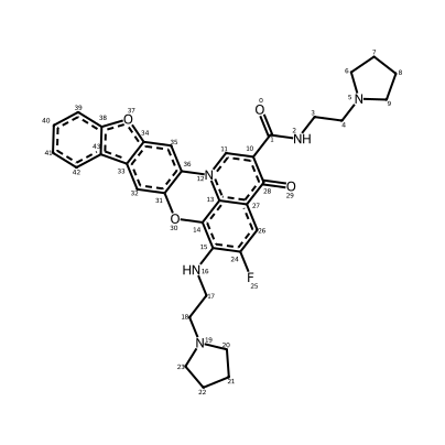 O=C(NCCN1CCCC1)c1cn2c3c(c(NCCN4CCCC4)c(F)cc3c1=O)Oc1cc3c(cc1-2)oc1ccccc13